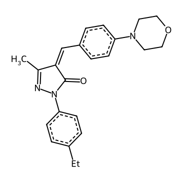 CCc1ccc(N2N=C(C)C(=Cc3ccc(N4CCOCC4)cc3)C2=O)cc1